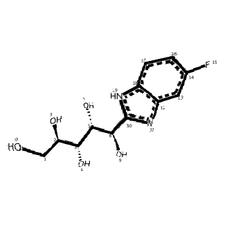 OC[C@@H](O)[C@@H](O)[C@H](O)[C@H](O)c1nc2cc(F)ccc2[nH]1